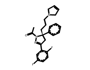 CC(=O)N1N=C(c2cc(F)ccc2F)C[C@@]1(CCCN1CC=CC1)c1ccccc1